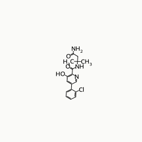 CC(C)(CC(N)=O)NC(=O)c1ncc(-c2ccccc2Cl)cc1O